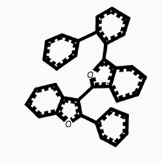 c1ccc(-c2ccccc2-c2oc(-c3c(-c4ccccc4)oc4ccccc34)c3ccccc23)cc1